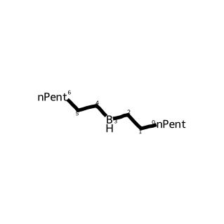 CCCCCCCBCCCCCCC